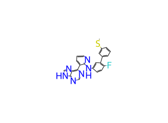 CSc1cccc(-c2cc(Nc3ncccc3-c3ncnc4[nH]cnc34)ccc2F)c1